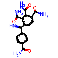 N=C(c1ccc(C(N)=O)cc1)c1ccc(C(N)=O)c(C(N)=O)c1C(N)=O